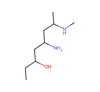 CCC(O)CC(N)CC(C)NC